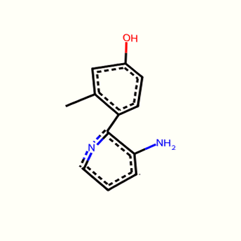 Cc1cc(O)ccc1-c1ncc[c]c1N